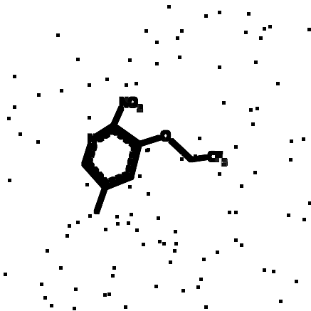 Cc1cnc([N+](=O)[O-])c(OCC(F)(F)F)c1